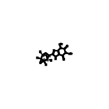 CCCn1c(=O)c2[nH]c([C@@H]3C[C@H]4C[C@@H]3[C@@H]3O[C@H]43)nc2n(CCC)c1=O